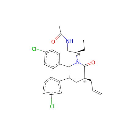 C=CC[C@H]1CC(c2cccc(Cl)c2)C(c2ccc(Cl)cc2)N([C@H](CC)CNC(C)=O)C1=O